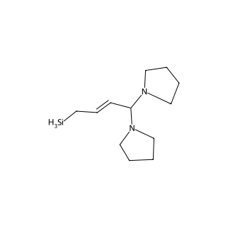 [SiH3]CC=CC(N1CCCC1)N1CCCC1